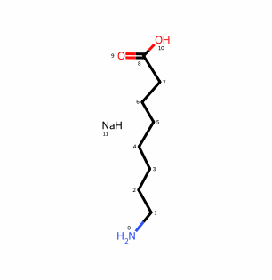 NCCCCCCCC(=O)O.[NaH]